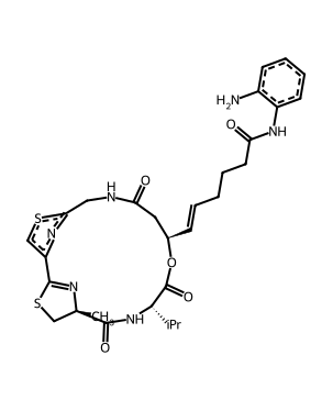 CC(C)[C@@H]1NC(=O)[C@]2(C)CSC(=N2)c2csc(n2)CNC(=O)C[C@@H](/C=C/CCCC(=O)Nc2ccccc2N)OC1=O